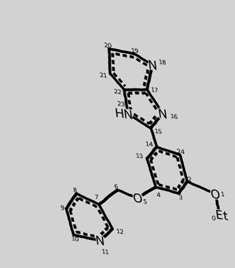 CCOc1cc(OCc2cccnc2)cc(-c2nc3ncccc3[nH]2)c1